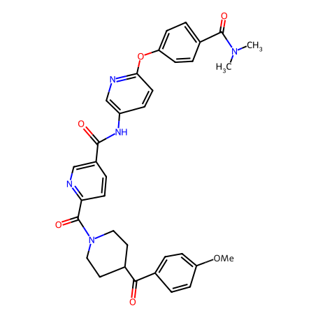 COc1ccc(C(=O)C2CCN(C(=O)c3ccc(C(=O)Nc4ccc(Oc5ccc(C(=O)N(C)C)cc5)nc4)cn3)CC2)cc1